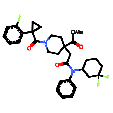 COC(=O)C1(CC(=O)N(c2ccccc2)C2CCCC(F)(F)C2)CCN(C(=O)C2(c3ccccc3F)CC2)CC1